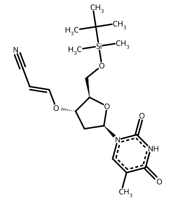 Cc1cn([C@H]2C[C@H](OC=CC#N)[C@@H](CO[Si](C)(C)C(C)(C)C)O2)c(=O)[nH]c1=O